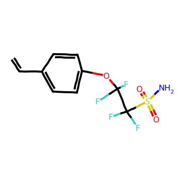 C=Cc1ccc(OC(F)(F)C(F)(F)S(N)(=O)=O)cc1